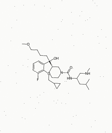 CNCC(CC(C)C)NC(=O)N1CCC[C@@H](C(O)(CCCCOC)c2cccc(F)c2OCC2CC2)C1